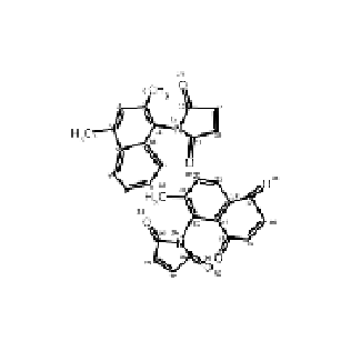 Cc1cc(C)c2ccccc2c1N1C(=O)C=CC1=O.Cc1ccc2c(c1N1C(=O)C=CC1=O)C(=O)C=CC2=O